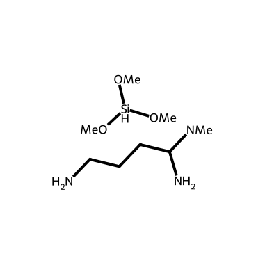 CNC(N)CCCN.CO[SiH](OC)OC